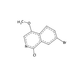 COc1cnc(Cl)c2cc(Br)ccc12